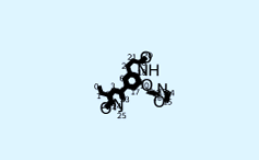 CCc1cc(-c2cc3c(c(OCc4ncco4)c2)NC(=O)CC3)cn(C)c1=O